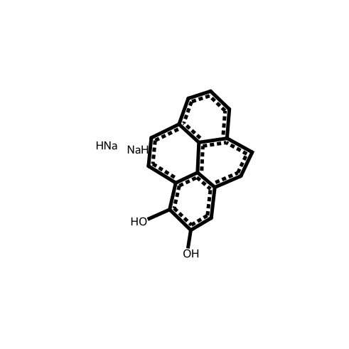 Oc1cc2ccc3cccc4ccc(c1O)c2c34.[NaH].[NaH]